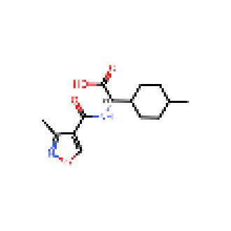 Cc1nocc1C(=O)N[C@H](C(=O)O)C1CCC(C)CC1